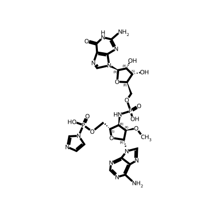 CO[C@@H]1[C@H](NP(=O)(O)OC[C@H]2O[C@@H](n3cnc4c(=O)[nH]c(N)nc43)[C@H](O)[C@@H]2O)[C@@H](COP(=O)(O)n2ccnc2)O[C@H]1n1cnc2c(N)ncnc21